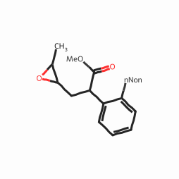 CCCCCCCCCc1ccccc1C(CC1OC1C)C(=O)OC